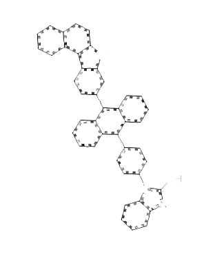 Cc1nc2ccccc2n1-c1ccc(-c2c3ccccc3c(-c3ccc4c(c3)oc3ccc5ccccc5c34)c3ccccc23)cc1